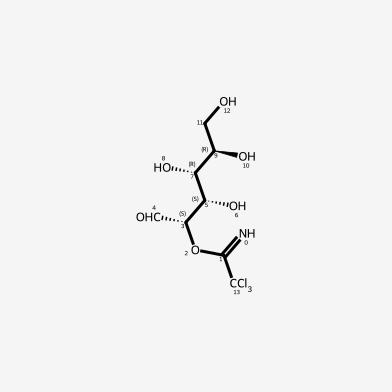 N=C(O[C@H](C=O)[C@@H](O)[C@H](O)[C@H](O)CO)C(Cl)(Cl)Cl